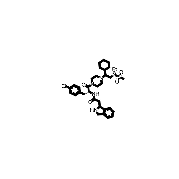 CCN(CC(C1CCCCC1)N1CCN(C(=O)[C@@H](Cc2ccc(Cl)cc2)NC(=O)CC2NCc3ccccc32)CC1)S(C)(=O)=O